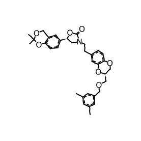 Cc1cc(C)cc(COC[C@@H]2COc3ccc(CCN4C[C@@H](c5ccc6c(c5)COC(C)(C)O6)OC4=O)cc3O2)c1